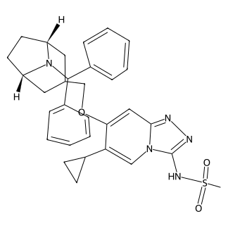 CS(=O)(=O)Nc1nnc2cc(OCC3C[C@H]4CC[C@@H](C3)N4C(c3ccccc3)c3ccccc3)c(C3CC3)cn12